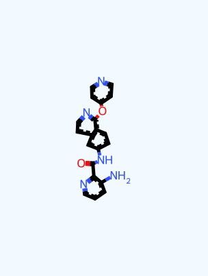 Nc1cccnc1C(=O)Nc1ccc2c(Oc3ccncc3)nccc2c1